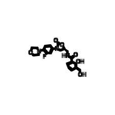 O=C(NC[C@H]1CN(c2ccc(N3CCOCC3)c(F)c2)C(=O)O1)c1cccc(CO)c1O